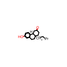 CC(C)CC[C@H]1CC(=O)C[C@@H]2c3ccc(O)cc3CC[C@@]12C